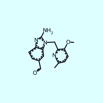 COc1ccc(C)nc1Cn1c(N)nc2ccc(C=O)cc21